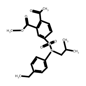 CCc1ccc(N(CC(C)C)S(=O)(=O)c2ccc(C(C)=O)c(C(=O)OC)c2)cc1